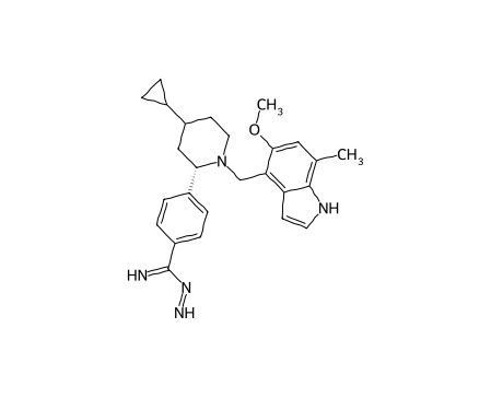 COc1cc(C)c2[nH]ccc2c1CN1CCC(C2CC2)C[C@H]1c1ccc(C(=N)N=N)cc1